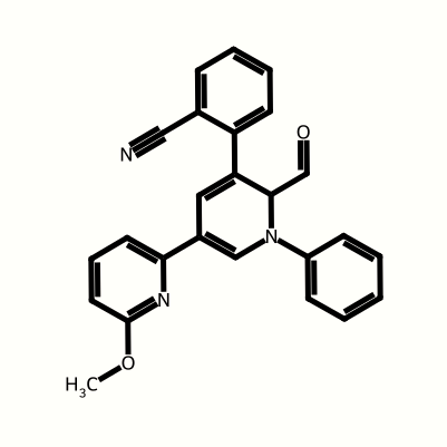 COc1cccc(C2=CN(c3ccccc3)C(C=O)C(c3ccccc3C#N)=C2)n1